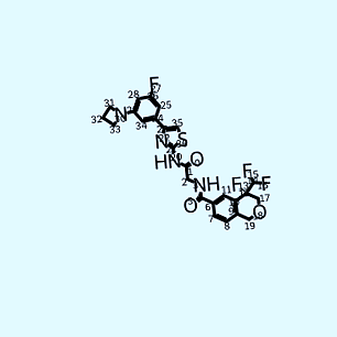 O=C(CNC(=O)c1ccc2c(c1)[C@@](F)(C(F)F)COC2)Nc1nc(-c2cc(F)cc(N3CCC3)c2)cs1